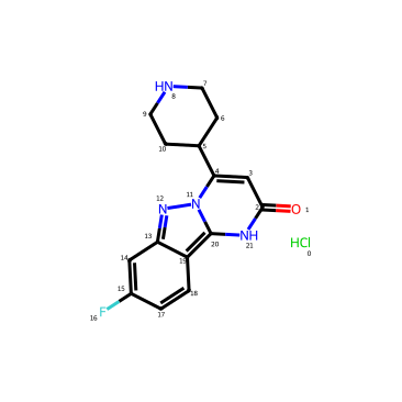 Cl.O=c1cc(C2CCNCC2)n2nc3cc(F)ccc3c2[nH]1